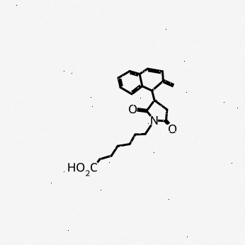 C=C1C=Cc2ccccc2C1C1CC(=O)N(CCCCCCC(=O)O)C1=O